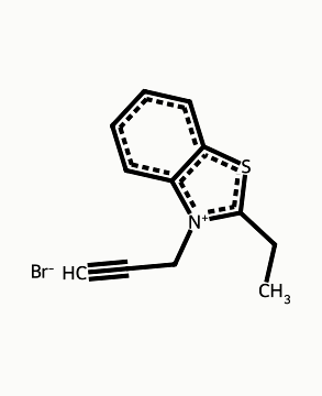 C#CC[n+]1c(CC)sc2ccccc21.[Br-]